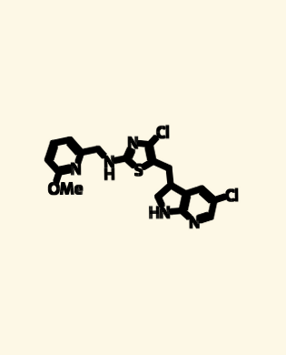 COc1cccc(CNc2nc(Cl)c(CC3CNc4ncc(Cl)cc43)s2)n1